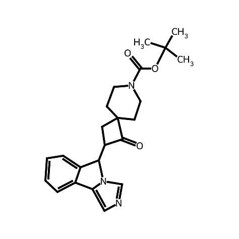 CC(C)(C)OC(=O)N1CCC2(CC1)CC(C1c3ccccc3-c3cncn31)C2=O